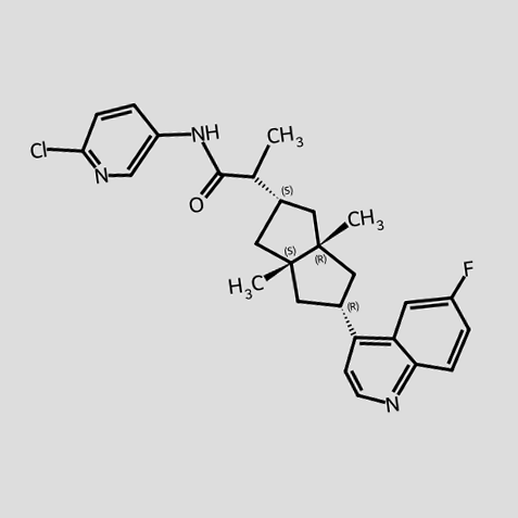 CC(C(=O)Nc1ccc(Cl)nc1)[C@@H]1C[C@]2(C)C[C@H](c3ccnc4ccc(F)cc34)C[C@]2(C)C1